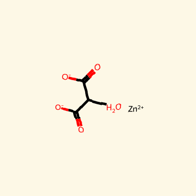 CC(C(=O)[O-])C(=O)[O-].O.[Zn+2]